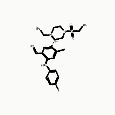 Cc1cc(Nc2ccc(F)cc2)c(C=N)cc1[C@H]1CN(S(=O)(=O)CC(C)C)CCN1CC(C)C